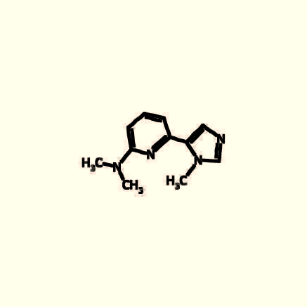 CN(C)c1cccc(-c2cncn2C)n1